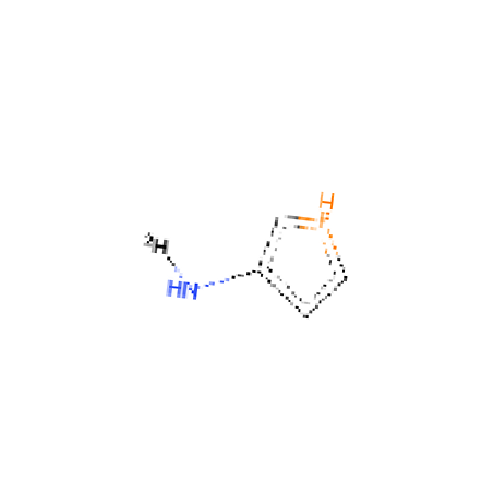 [2H]Nc1cc[pH]c1